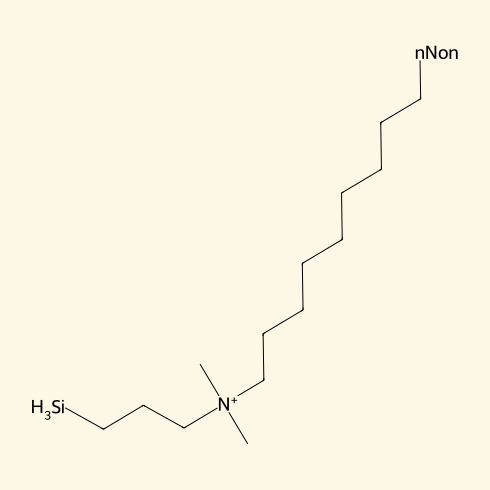 CCCCCCCCCCCCCCCCCC[N+](C)(C)CCC[SiH3]